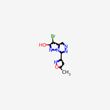 Cc1cc(-c2nncc3c(Br)c(O)nn23)no1